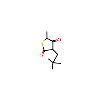 CC1SC(=O)C(CC(C)(C)C)C1=O